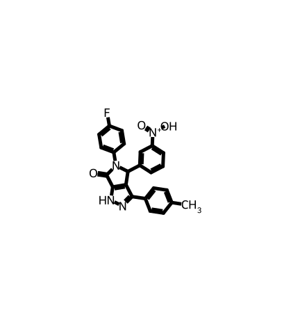 Cc1ccc(-c2n[nH]c3c2C(c2cccc([N+](=O)O)c2)N(c2ccc(F)cc2)C3=O)cc1